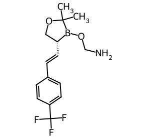 CC1(C)OC[C@@H](/C=C/c2ccc(C(F)(F)F)cc2)B1OCN